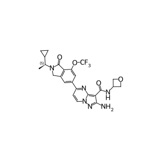 C[C@@H](C1CC1)N1Cc2cc(-c3ccn4nc(N)c(C(=O)NC5COC5)c4n3)cc(OC(F)(F)F)c2C1=O